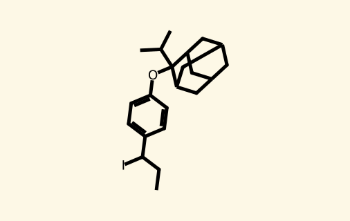 CCC(I)c1ccc(OC2(C(C)C)C3CC4CC(C3)CC2C4)cc1